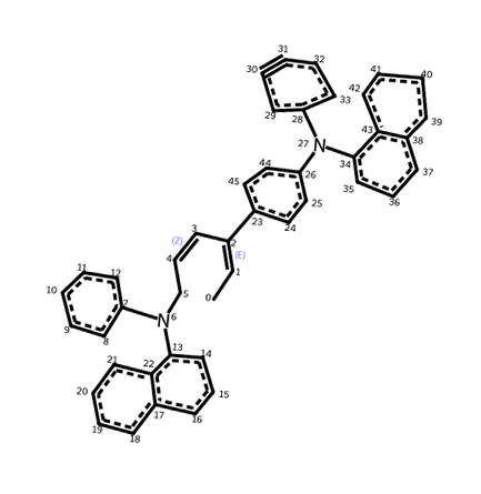 C/C=C(\C=C/CN(c1ccccc1)c1cccc2ccccc12)c1ccc(N(c2cc#ccc2)c2cccc3ccccc23)cc1